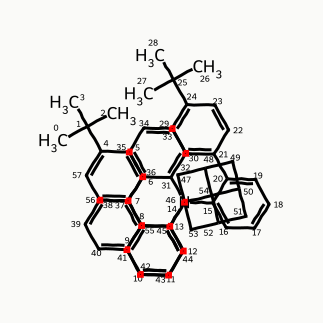 CC(C)(C)c1ccc(-c2ccccc2N(c2ccccc2-c2ccc(C(C)(C)C)cc2)c2ccccc2-c2cccc3cccc(C45CC6CC7CC(C4)C765)c23)cc1